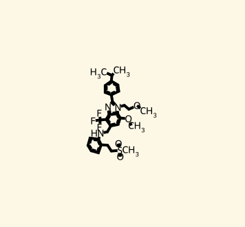 COCCn1c(-c2ccc(C(C)C)cc2)nc2c(C(F)(F)F)c(CNc3ccccc3CCS(C)(=O)=O)cc(OC)c21